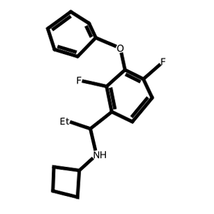 CCC(NC1CCC1)c1ccc(F)c(Oc2ccccc2)c1F